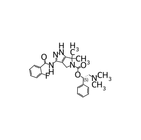 CN(C)C[C@@H](OC(=O)N1Cc2c(NC(=O)c3ccccc3F)n[nH]c2C1(C)C)c1ccccc1